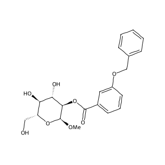 CO[C@H]1O[C@H](CO)[C@@H](O)[C@H](O)[C@H]1OC(=O)c1cccc(OCc2ccccc2)c1